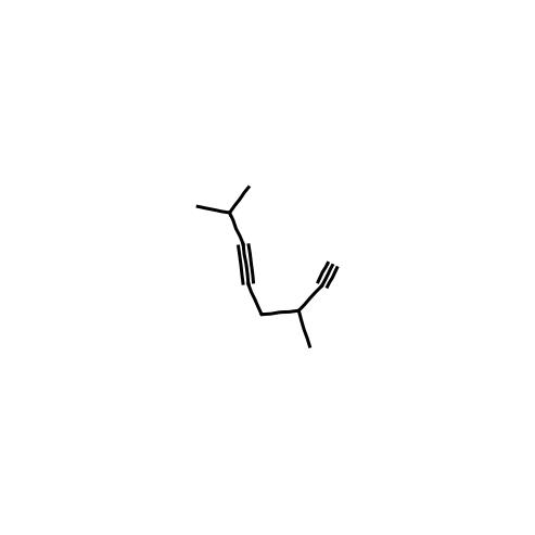 C#CC(C)CC#C[C](C)C